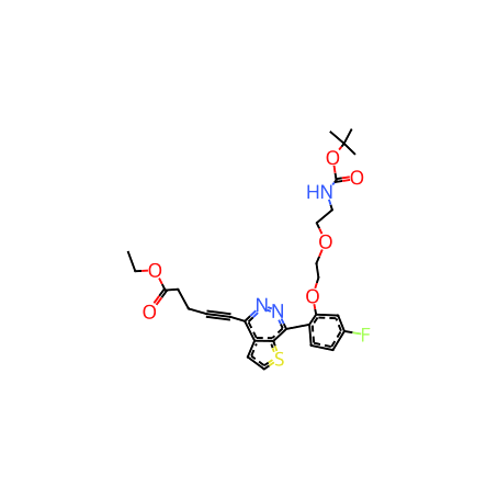 CCOC(=O)CCC#Cc1nnc(-c2ccc(F)cc2OCCOCCNC(=O)OC(C)(C)C)c2sccc12